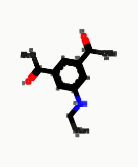 CCCCCCCCCCNc1cc(C(=O)OC)cc(C(=O)OC)c1